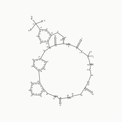 CC1(C)CC(=O)N[C@@H]2CCc3cc(C(F)(F)F)ccc3N(Cc3ccc(cc3)-c3ccccc3CNC(=O)NCCC(=O)OCCN1)C2=O